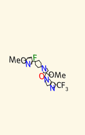 COCC1(C(=O)N2CCc3ncc(C(F)(F)F)cc3C2)CCN(C2CCC(F)(c3ccc(OC)nc3)CC2)C1